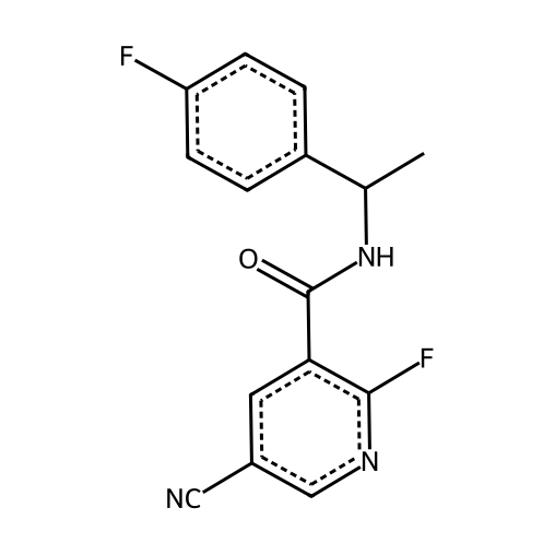 CC(NC(=O)c1cc(C#N)cnc1F)c1ccc(F)cc1